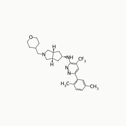 Cc1ccc(C)c(-c2cc(C(F)(F)F)c(N[C@H]3C[C@@H]4CN(CC5CCOCC5)C[C@@H]4C3)nn2)c1